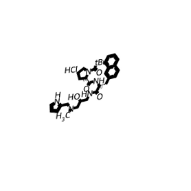 CN(Cc1ccc[nH]1)CC(O)CNC(=O)[C@@H](Cc1ccc2ccccc2c1)NC(=O)[C@@H]1CCCN1C(=O)C(C)(C)C.Cl